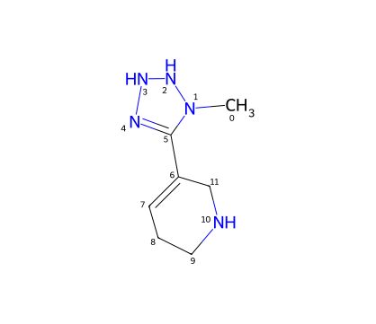 CN1NNN=C1C1=CCCNC1